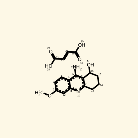 COc1ccc2c(N)c3c(nc2c1)CCCC3O.O=C(O)C=CC(=O)O